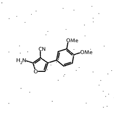 COc1ccc(-c2coc(N)c2C#N)cc1OC